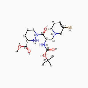 COC(=O)[C@@H]1CCCN(C(=O)[C@H](CN2CCC=C(Br)C2)NC(=O)OC(C)(C)C)N1